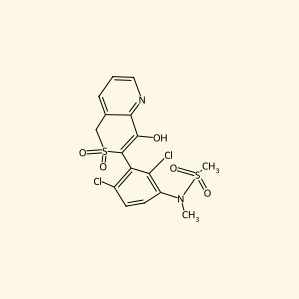 CN(c1ccc(Cl)c(C2=C(O)c3ncccc3CS2(=O)=O)c1Cl)S(C)(=O)=O